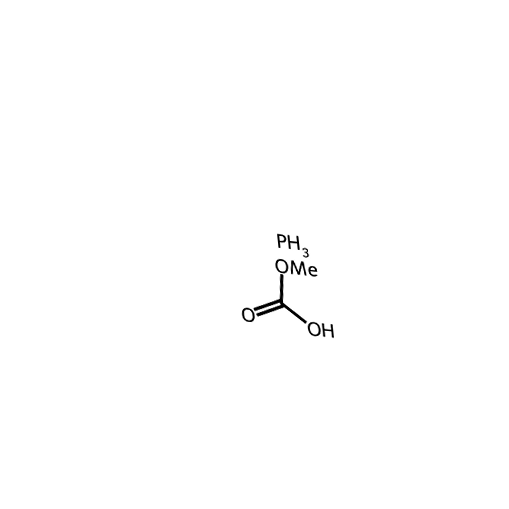 COC(=O)O.P